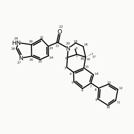 CC1C2Cc3ccc(-c4ccccc4)cc3[C@]1(C)CCN2C(=O)c1ccc2nc[nH]c2c1